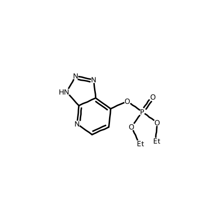 CCOP(=O)(OCC)Oc1ccnc2[nH]nnc12